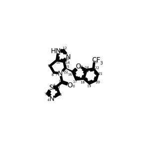 O=C(c1cncs1)N1CCc2[nH]cnc2[C@H]1c1cc2cccc(C(F)(F)F)c2o1